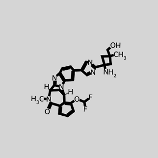 CN1C(=O)c2cccc(OC(F)F)c2[C@H]2C[C@@H]1c1nc3ccc(-c4cnc(C5(N)CC(C)(CO)C5)nc4)cc3n12